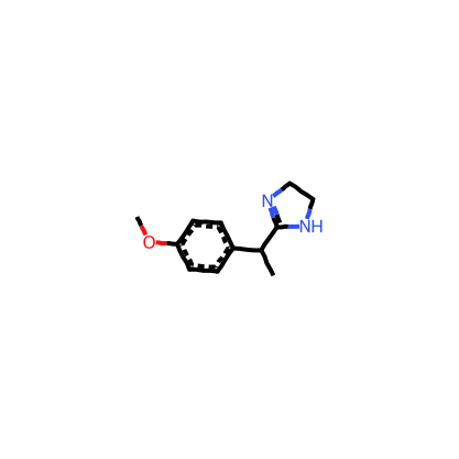 COc1ccc(C(C)C2=NCCN2)cc1